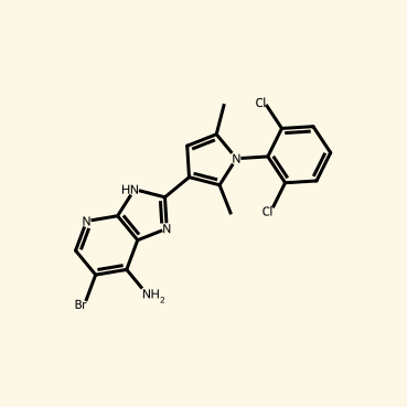 Cc1cc(-c2nc3c(N)c(Br)cnc3[nH]2)c(C)n1-c1c(Cl)cccc1Cl